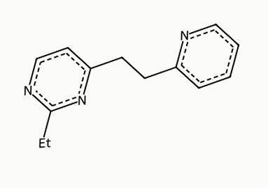 CCc1nccc(CCc2ccccn2)n1